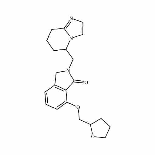 O=C1c2c(cccc2OCC2CCCO2)CN1CC1CCCc2nccn21